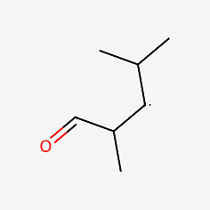 CC(C)[CH]C(C)C=O